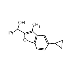 Cc1c(C(O)C(C)C)oc2ccc(C3CC3)cc12